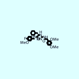 COc1ccc(CC(=O)NC(=N)N[C@H](CC2CCCCC2)C(=O)NCc2ccc(F)c(OC)c2)c(OC)c1